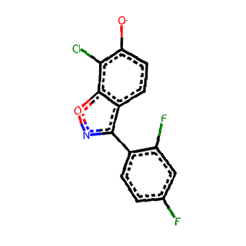 [O]c1ccc2c(-c3ccc(F)cc3F)noc2c1Cl